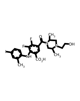 Cc1cc(I)ccc1Nc1c(C(=O)O)cc(C(=O)N2CC(C)N(CCO)CC2C)c(F)c1F